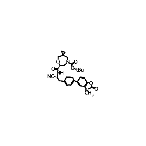 Cn1c(=O)oc2ccc(-c3ccc(C[C@@H](C#N)NC(=O)[C@@H]4CN(C(=O)OC(C)(C)C)CC5(CC5)CO4)cc3)cc21